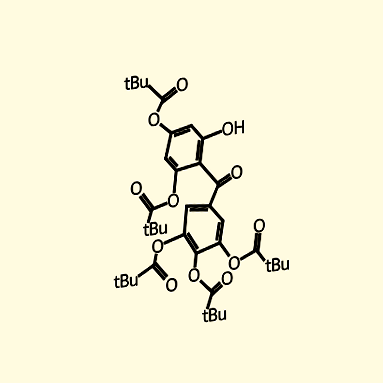 CC(C)(C)C(=O)Oc1cc(O)c(C(=O)c2cc(OC(=O)C(C)(C)C)c(OC(=O)C(C)(C)C)c(OC(=O)C(C)(C)C)c2)c(OC(=O)C(C)(C)C)c1